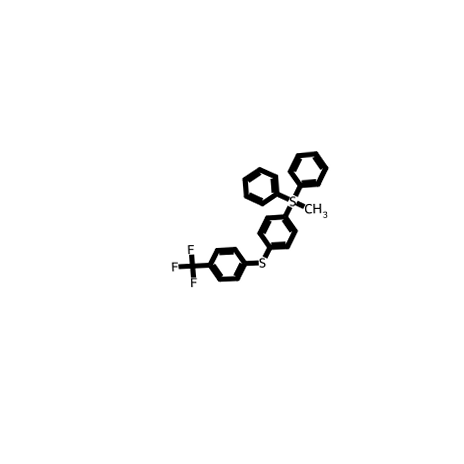 CS(c1ccccc1)(c1ccccc1)c1ccc(Sc2ccc(C(F)(F)F)cc2)cc1